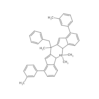 Cc1cccc(-c2cccc3c2C=C2[CH]3[Hf]([CH3])([CH3])[CH]3C(=Cc4c(-c5cccc(C)c5)cccc43)C2(C)Cc2ccccc2)c1